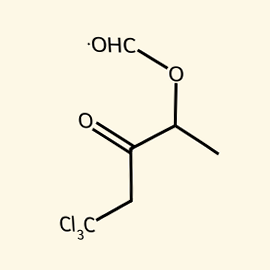 CC(O[C]=O)C(=O)CC(Cl)(Cl)Cl